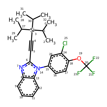 CC(C)[Si](C#Cc1nc2ccccc2n1-c1ccc(OC(F)(F)F)c(Cl)c1)(C(C)C)C(C)C